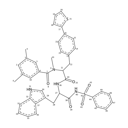 Cc1cc(C)cc(C(=O)N(C)C(Cc2ccc(-c3cccs3)cc2)C(=O)NC(Cc2c[nH]c3ccccc23)C(=O)NS(=O)(=O)c2ccccc2)c1